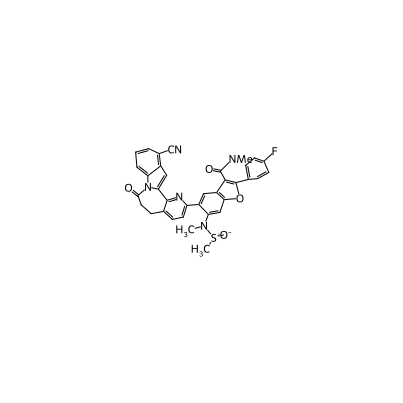 CNC(=O)c1c(-c2ccc(F)cc2)oc2cc(N(C)[S+](C)[O-])c(-c3ccc4c(n3)-c3cc5c(C#N)cccc5n3C(=O)CC4)cc12